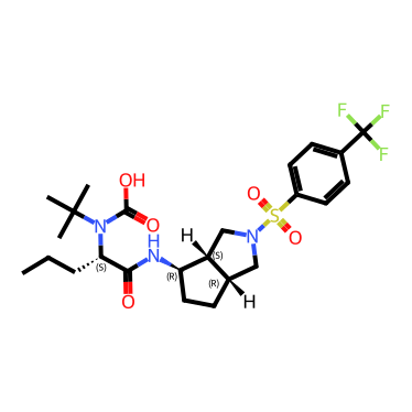 CCC[C@@H](C(=O)N[C@@H]1CC[C@H]2CN(S(=O)(=O)c3ccc(C(F)(F)F)cc3)C[C@H]21)N(C(=O)O)C(C)(C)C